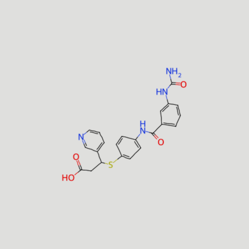 NC(=O)Nc1cccc(C(=O)Nc2ccc(SC(CC(=O)O)c3cccnc3)cc2)c1